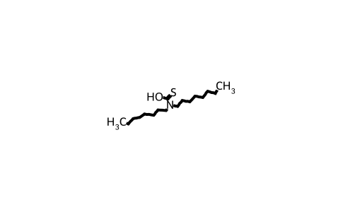 CCCCCCCCN(CCCCCCCC)C(O)=S